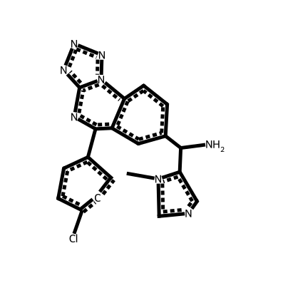 Cn1cncc1C(N)c1ccc2c(c1)c(-c1ccc(Cl)cc1)nc1nnnn12